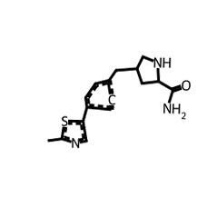 Cc1ncc(-c2ccc(CC3CNC(C(N)=O)C3)cc2)s1